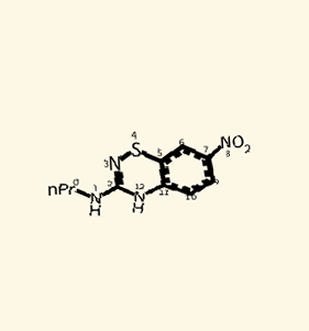 CCCNC1=NSc2cc([N+](=O)[O-])ccc2N1